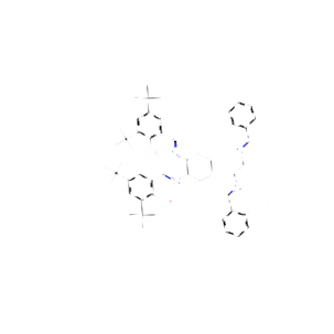 CC(C)(C)c1cc(/C=N/C2CCCCC2/N=C/c2cc(C(C)(C)C)cc(C(C)(C)C)c2O)c(O)c(C(C)(C)C)c1.Oc1ccccc1/C=N/CC/N=C/c1ccccc1O